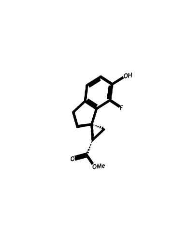 COC(=O)[C@H]1C[C@@]12CCc1ccc(O)c(F)c12